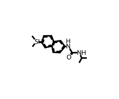 CC(C)NC(=O)Nc1ccc2cc([SH](C)C)ccc2c1